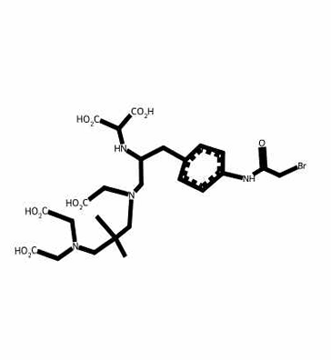 CC(C)(CN(CC(=O)O)CC(=O)O)CN(CC(=O)O)CC(Cc1ccc(NC(=O)CBr)cc1)NC(C(=O)O)C(=O)O